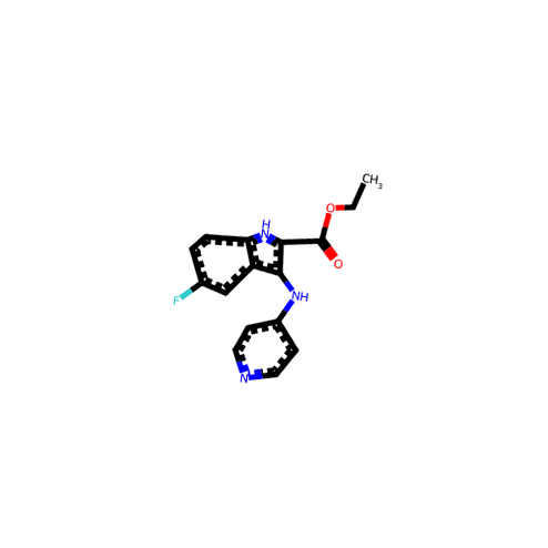 CCOC(=O)c1[nH]c2ccc(F)cc2c1Nc1ccncc1